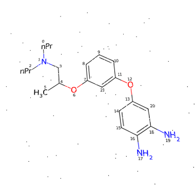 CCCN(CCC)CC(C)Oc1cccc(Oc2ccc(N)c(N)c2)c1